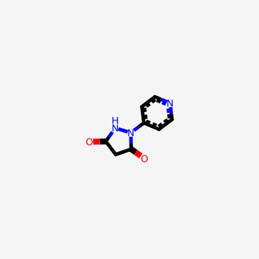 O=C1CC(=O)N(c2ccncc2)N1